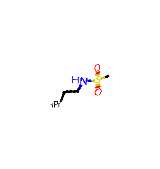 C[C](C)CCNS(C)(=O)=O